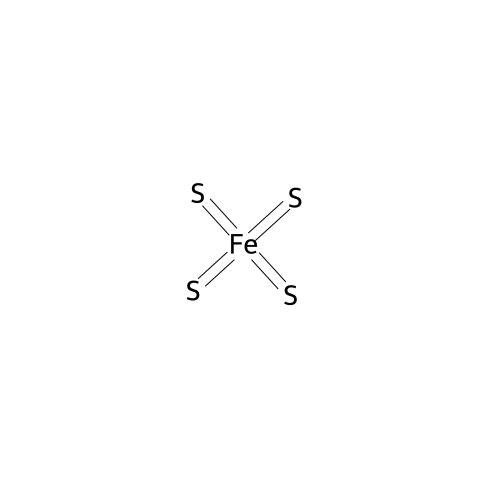 [S]=[Fe](=[S])(=[S])=[S]